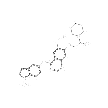 COc1cc2c(Oc3ccc4c(ccn4C)c3)ncnc2cc1OCC(C)N1CCCCC1